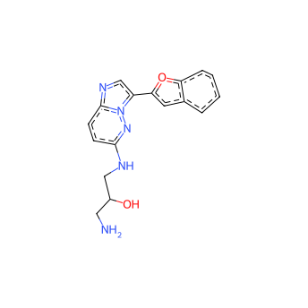 NCC(O)CNc1ccc2ncc(-c3cc4ccccc4o3)n2n1